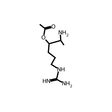 CC(=O)OC(CCCNC(=N)N)C(C)N